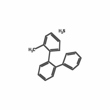 Cc1ccccc1-c1ccccc1-c1ccccc1.S